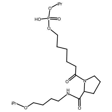 CC(C)OCCCCNC(=O)C1CCCN1C(=O)CCCCCOP(=O)(O)OC(C)C